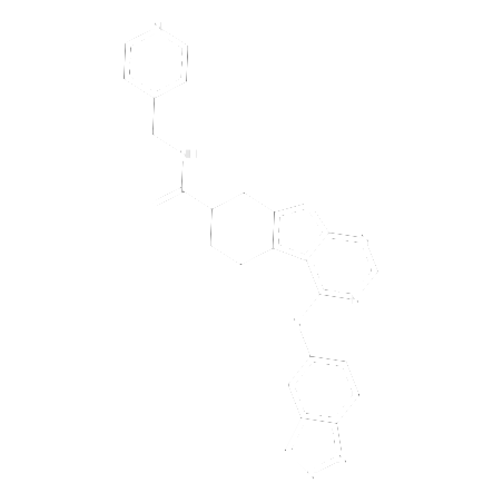 O=C(NCc1ccncc1)C1CCc2c(sc3ncnc(Nc4ccc5[nH]ncc5c4)c23)C1